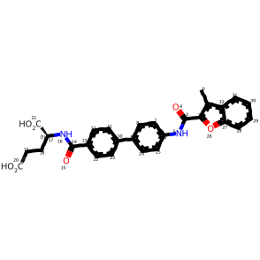 Cc1c(C(=O)Nc2ccc(-c3ccc(C(=O)N[C@@H](CCC(=O)O)C(=O)O)cc3)cc2)oc2ccccc12